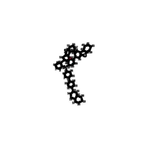 c1ccc(N(c2ccc(-c3ccc(-c4ccc5ccccc5c4)cc3)cc2)c2ccc(-c3ccc4c(c3)oc3ccccc34)cc2)c(-c2ccc3c(c2)sc2ccccc23)c1